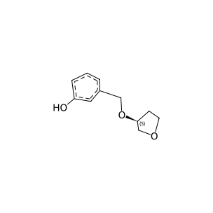 Oc1cccc(CO[C@H]2CCOC2)c1